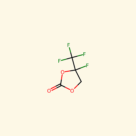 O=C1OCC(F)(C(F)(F)F)O1